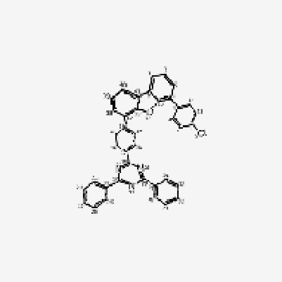 Clc1ccc(-c2cccc3c2oc2c(-c4ccc(-c5nc(-c6ccccc6)nc(-c6ccccc6)n5)cc4)cccc23)cc1